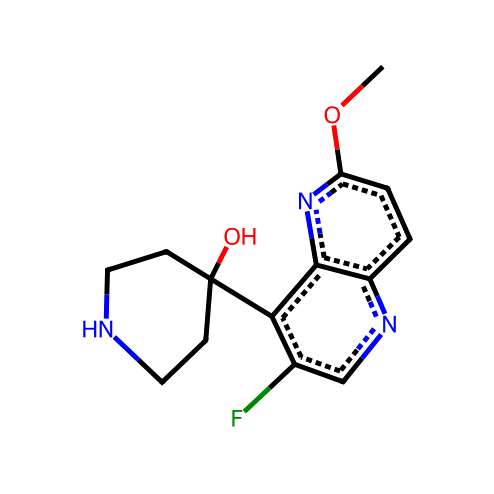 COc1ccc2ncc(F)c(C3(O)CCNCC3)c2n1